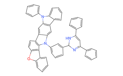 C1=C(c2ccccc2)NC(c2cccc(-n3c4cc5c6ccccc6n(-c6ccccc6)c5cc4c4ccc5oc6ccccc6c5c43)c2)N=C1c1ccccc1